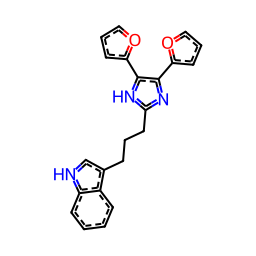 c1coc(-c2nc(CCCc3c[nH]c4ccccc34)[nH]c2-c2ccco2)c1